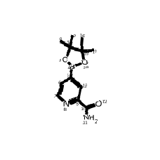 CC1(C)OB(c2ccnc(C(N)=O)c2)OC1(C)C